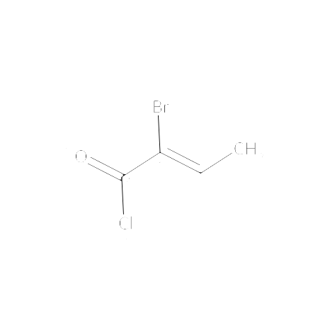 C/C=C(\Br)C(=O)Cl